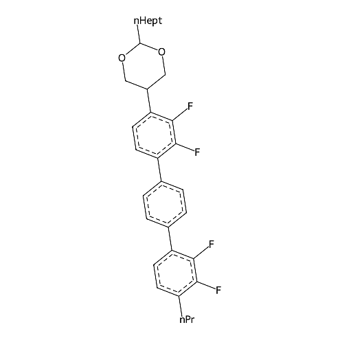 CCCCCCCC1OCC(c2ccc(-c3ccc(-c4ccc(CCC)c(F)c4F)cc3)c(F)c2F)CO1